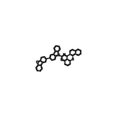 c1ccc2c3c(ccc2c1)-c1nc(-n2c4ccccc4c4cc(-c5ccc6oc7ccccc7c6c5)ccc42)nc2cccc(c12)S3